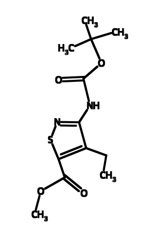 CCc1c(NC(=O)OC(C)(C)C)nsc1C(=O)OC